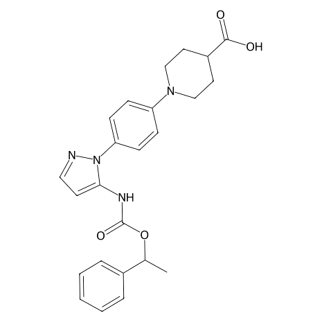 CC(OC(=O)Nc1ccnn1-c1ccc(N2CCC(C(=O)O)CC2)cc1)c1ccccc1